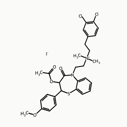 COc1ccc(C2Sc3ccccc3N(CC[N+](C)(C)CCc3ccc(Cl)c(Cl)c3)C(=O)C2OC(C)=O)cc1.[I-]